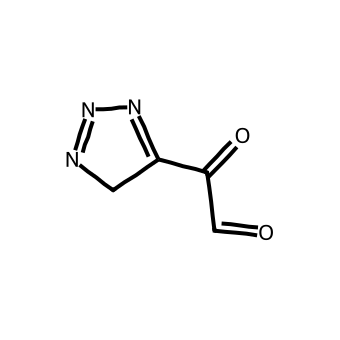 O=CC(=O)C1=NN=NC1